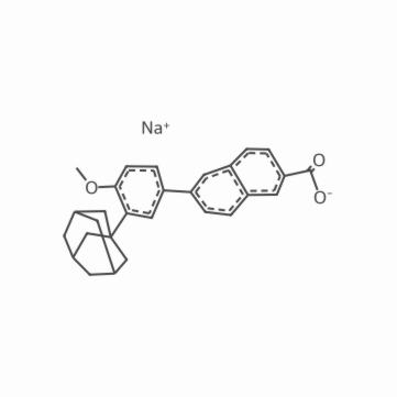 COc1ccc(-c2ccc3cc(C(=O)[O-])ccc3c2)cc1C12CC3CC(CC(C3)C1)C2.[Na+]